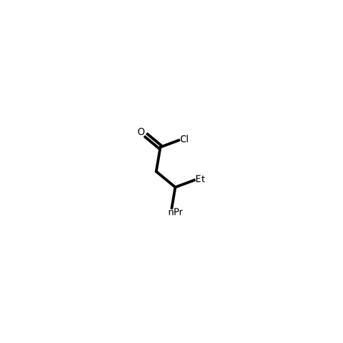 CCCC(CC)CC(=O)Cl